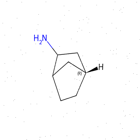 NC1C[C@@H]2CCC1C2